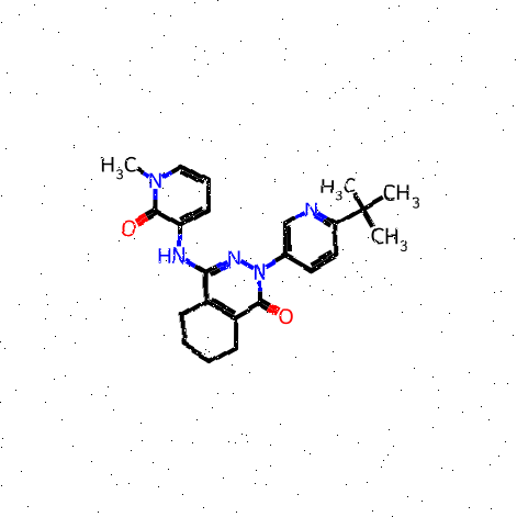 Cn1cccc(Nc2nn(-c3ccc(C(C)(C)C)nc3)c(=O)c3c2CCCC3)c1=O